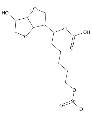 O=C(O)OC(CCCCCO[N+](=O)[O-])C1COC2C(O)COC12